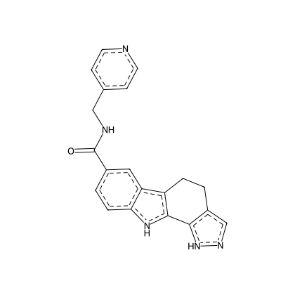 O=C(NCc1ccncc1)c1ccc2[nH]c3c(c2c1)CCc1cn[nH]c1-3